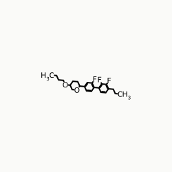 CCCCOC1CCC(c2ccc(-c3ccc(CCC)c(F)c3F)c(F)c2)OC1